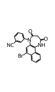 N#Cc1cccc(N2C(=O)CC(=O)Nc3c2cc(Br)c2ccccc32)c1